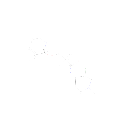 CN1CCC(NC(=O)C(C)(C)COc2ncccc2C(F)(F)F)C(F)C1